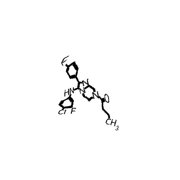 CCCC(=O)N1CCn2c(nc(-c3ccc(F)cc3)c2Nc2ccc(Cl)c(F)c2)C1